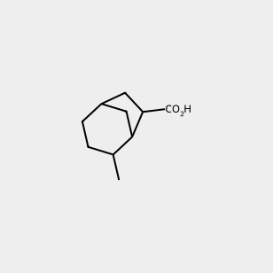 CC1CCC2CC(C(=O)O)C1C2